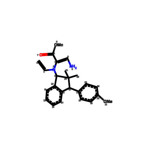 C=CN(/C(=C\N)C(=O)OC)C1c2ccccc2C(c2ccc(OC)cc2)C1(C)C